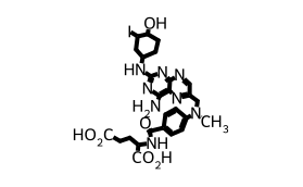 CN(Cc1cnc2nc(NC3CCC(O)C(I)C3)nc(N)c2n1)c1ccc(C(=O)NC(CCC(=O)O)C(=O)O)cc1